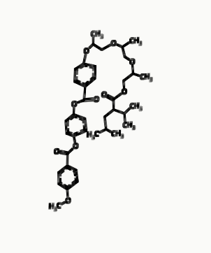 COc1ccc(C(=O)Oc2ccc(OC(=O)c3ccc(OC(C)COC(C)COC(C)COC(=O)C(CC(C)C)C(C)C)cc3)cc2)cc1